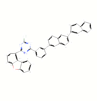 Clc1nc(-c2cccc(-c3ccc4cc(-c5ccc6ccccc6c5)ccc4c3)c2)nc(-c2cccc3oc4ccccc4c23)n1